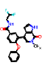 Cn1cc(-c2cc(C(=O)NCC(F)F)ccc2Oc2ccccc2)c2cc[nH]c2c1=O